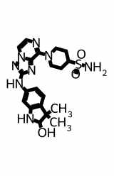 CC1(C)c2ccc(Nc3nc4c(N5CCC(S(N)(=O)=O)CC5)nccn4n3)cc2NC1O